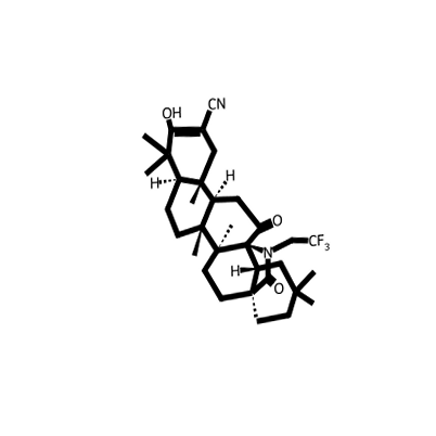 CC1(C)CC[C@]23CC[C@@]4(C)[C@]5(C)CC[C@H]6C(C)(C)C(O)=C(C#N)C[C@]6(C)[C@H]5CC(=O)[C@@]4([C@@H]2C1)N(CC(F)(F)F)C3=O